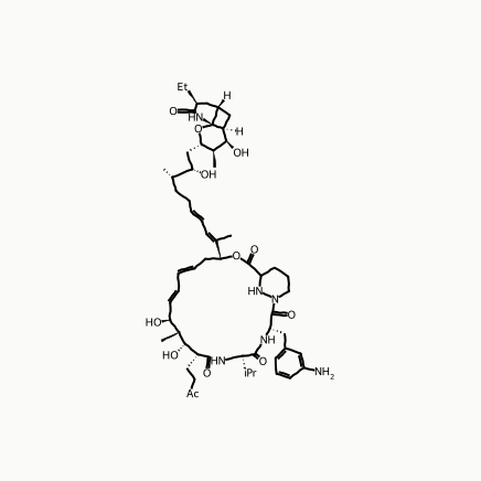 CC[C@H]1C[C@@H]2C[C@H]3[C@@H](O)[C@@H](C)[C@H](C[C@H](O)[C@@H](C)CC/C=C/C=C(\C)[C@@H]4C/C=C/C=C/[C@H](O)[C@H](C)[C@@H](O)[C@@H](CCC(C)=O)C(=O)N[C@@H](C(C)C)C(=O)N[C@@H](Cc5cccc(N)c5)C(=O)N5CCCC(N5)C(=O)O4)O[C@]23NC1=O